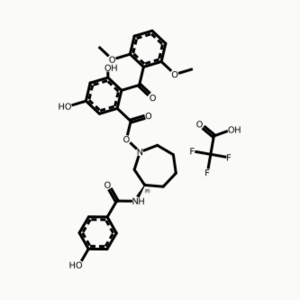 COc1cccc(OC)c1C(=O)c1c(O)cc(O)cc1C(=O)ON1CCCC[C@@H](NC(=O)c2ccc(O)cc2)C1.O=C(O)C(F)(F)F